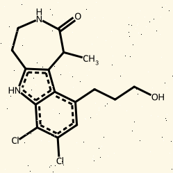 CC1C(=O)NCCc2[nH]c3c(Cl)c(Cl)cc(CCCO)c3c21